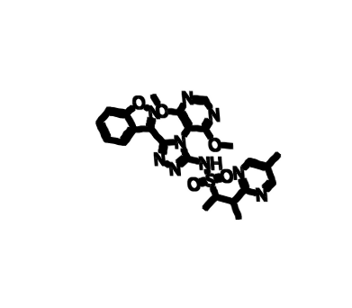 COc1ncnc(OC)c1-n1c(NS(=O)(=O)C(C)C(C)c2ncc(C)cn2)nnc1-c1noc2ccccc12